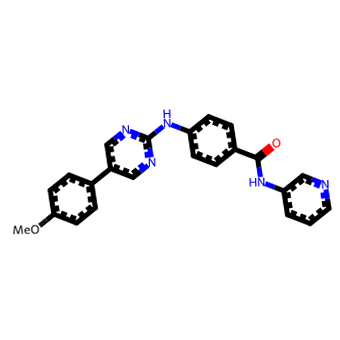 COc1ccc(-c2cnc(Nc3ccc(C(=O)Nc4cccnc4)cc3)nc2)cc1